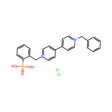 O=P(O)(O)c1ccccc1C[n+]1ccc(-c2cc[n+](Cc3ccccc3)cc2)cc1.[Cl-].[Cl-]